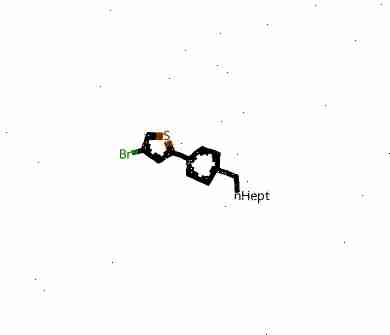 CCCCCCCCc1ccc(-c2cc(Br)[c]s2)cc1